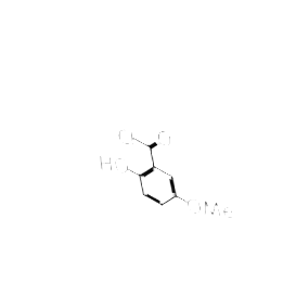 COc1ccc(O)c(C(=O)Cl)c1